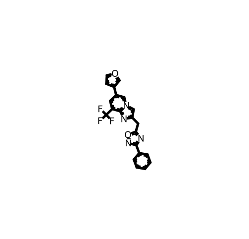 FC(F)(F)c1cc(-c2ccoc2)cn2cc(Cc3nc(-c4ccccc4)no3)nc12